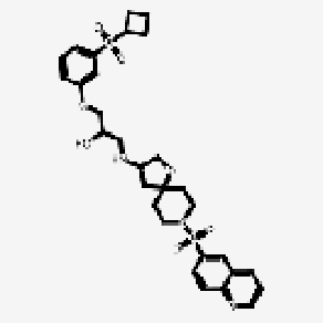 O=S(=O)(c1cccc(OCC(O)CNC2COC3(CCN(S(=O)(=O)c4ccc5ncccc5c4)CC3)C2)c1)C1CCC1